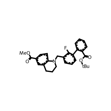 COC(=O)c1ccc2c(c1)CCCN2Cc1cccc(-c2ccccc2C(=O)OC(C)(C)C)c1F